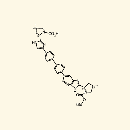 C[C@H]1C[C@H](c2nc3cc(-c4ccc(-c5ccc(-c6c[nH]c([C@@H]7C[C@H](C)CN7C(=O)O)n6)cc5)cc4)cnc3[nH]2)N(C(=O)OC(C)(C)C)C1